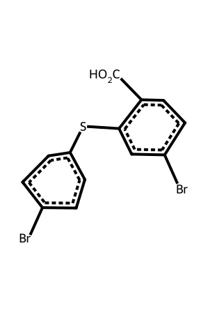 O=C(O)c1ccc(Br)cc1Sc1ccc(Br)cc1